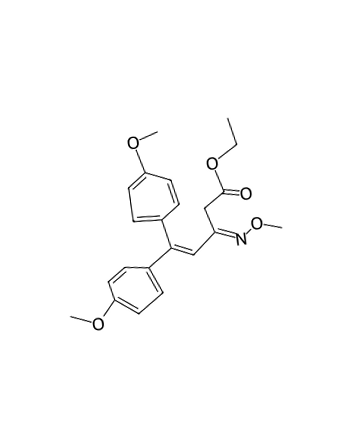 CCOC(=O)C/C(C=C(c1ccc(OC)cc1)c1ccc(OC)cc1)=N\OC